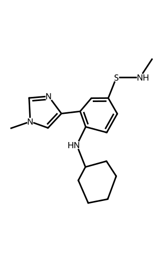 CNSc1ccc(NC2CCCCC2)c(-c2cn(C)cn2)c1